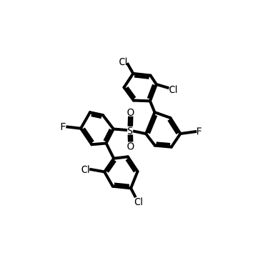 O=S(=O)(c1ccc(F)cc1-c1ccc(Cl)cc1Cl)c1ccc(F)cc1-c1ccc(Cl)cc1Cl